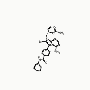 C=C[C@@H](Cn1c(Br)c(-c2ccc(C(=O)Nc3ccccn3)cc2)c2c(N)ncnc21)OC(N)=O